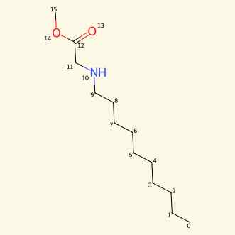 CCCCCCCCCCNCC(=O)OC